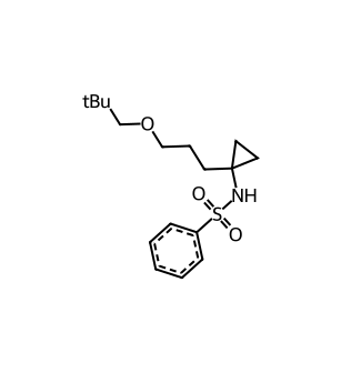 CC(C)(C)COCCCC1(NS(=O)(=O)c2ccccc2)CC1